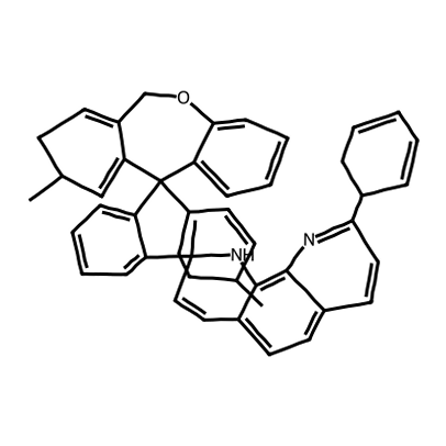 CC1C=C2C(=CC1)COc1ccccc1C2(c1ccccc1C1(C)C=Cc2ccc3ccc(C4C=CC=CC4)nc3c2N1)C1C=CC(C)CC1